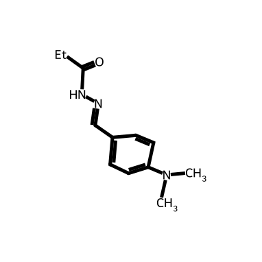 CCC(=O)NN=Cc1ccc(N(C)C)cc1